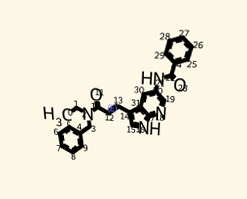 CCN(Cc1ccccc1)C(=O)/C=C/c1c[nH]c2ncc(NC(=O)c3ccccc3)cc12